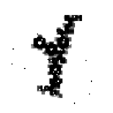 CC(C)c1noc(-c2ccc(NC(=O)N(Cc3ccc(C(=O)NCCC(=O)O)cc3)c3ccc(C4CCCCC4)cc3)cc2)n1